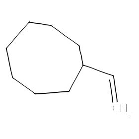 C=CC1CCCCCCC1